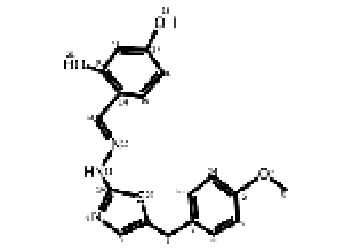 COc1ccc(Cc2cnc(N/N=C/c3ccc(O)cc3O)s2)cc1